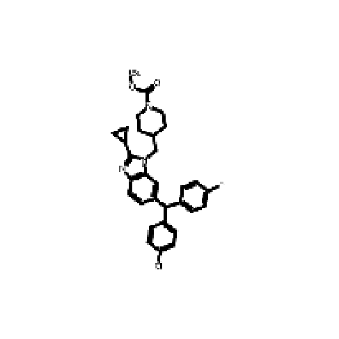 CC(C)(C)OC(=O)N1CCC(Cn2c(C3CC3)nc3ccc(C(c4ccc(Cl)cc4)c4ccc(Cl)cc4)cc32)CC1